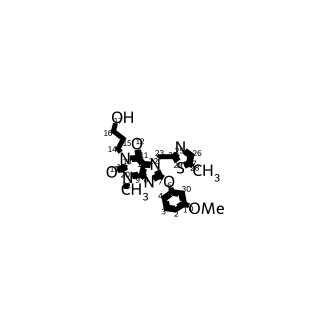 COc1cccc(Oc2nc3c(c(=O)n(CCCO)c(=O)n3C)n2Cc2ncc(C)s2)c1